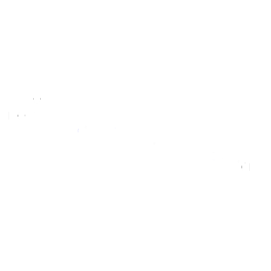 C=C/C=C/CCCC/C=C/C/C=C/C/C=C/CCCC(=O)O